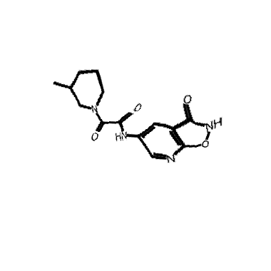 CC1CCCN(C(=O)C(=O)Nc2cnc3o[nH]c(=O)c3c2)C1